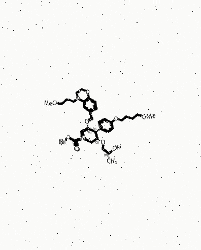 COCCCCOc1ccc([C@@H]2[C@@H](OCc3ccc4c(c3)N(CCCOC)CCO4)CN(C(=O)OC(C)(C)C)C[C@H]2OC[C@@H](C)O)cc1